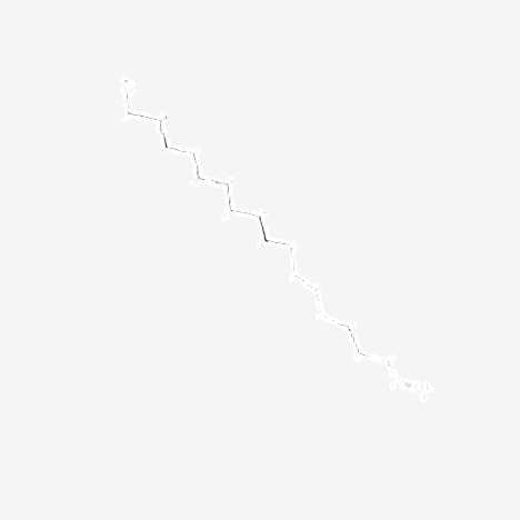 C=CCCCCCCCCCCCCCCCCCl